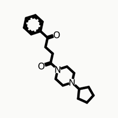 O=C(CCC(=O)N1CCN(C2CCCC2)CC1)c1ccccc1